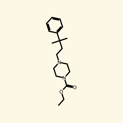 CCOC(=O)N1CCN(CCC(C)(C)c2ccccc2)CC1